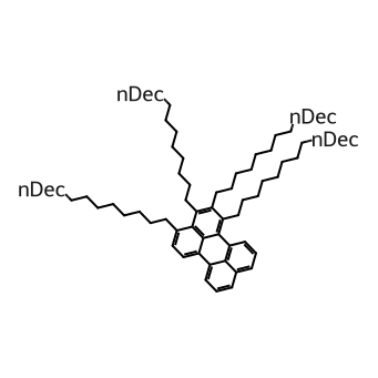 CCCCCCCCCCCCCCCCCCc1c(CCCCCCCCCCCCCCCCCC)c2c(CCCCCCCCCCCCCCCCCC)ccc3c4cccc5cccc(c(c1CCCCCCCCCCCCCCCCCC)c23)c54